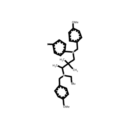 COc1ccc(CN(CC(C)(C)C(C)N(Cc2ccc(OC)cc2)CC(C)(C)C)c2ccc(I)cc2)cc1